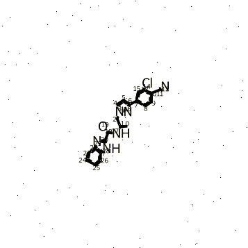 CC(Cn1ccc(-c2ccc(C#N)c(Cl)c2)n1)NC(=O)c1nc2ccccc2[nH]1